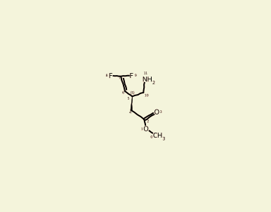 COC(=O)C[C@@H](C=C(F)F)CN